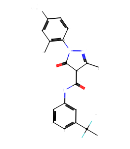 COc1ccc(N2N=C(C)C(C(=O)Nc3cccc(C(C)(F)F)c3)C2=O)c(C)c1